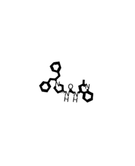 Cc1cc(NC(=O)N[C@H]2CCN(C(Cc3ccccc3)Cc3ccccc3)C2)c2ccccc2n1